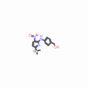 [CH3][Sn]([CH3])([CH3])[c]1ccc([N+](=O)[O-])c(Nc2ccc(CO)cc2)n1